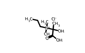 CCC[N+](C)(C)C(C)(O)C(=O)O.[Cl-]